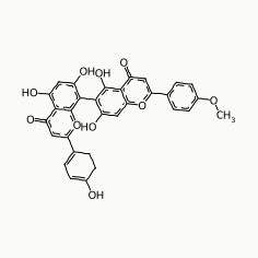 COc1ccc(-c2cc(=O)c3c(O)c(-c4c(O)cc(O)c5c(=O)cc(C6=CC=C(O)CC6)oc45)c(O)cc3o2)cc1